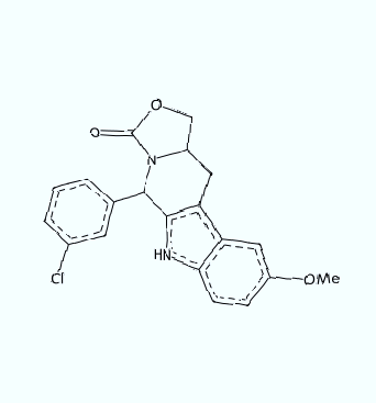 COc1ccc2[nH]c3c(c2c1)CC1COC(=O)N1C3c1cccc(Cl)c1